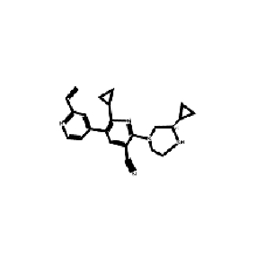 C=Cc1cc(-c2cc(C#N)c(N3CCN[C@H](C4CC4)C3)nc2C2CC2)ccn1